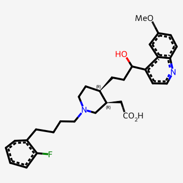 COc1ccc2nccc(C(O)CC[C@@H]3CCN(CCCCc4ccccc4F)C[C@@H]3CC(=O)O)c2c1